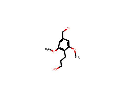 COc1cc(CO)cc(OC)c1CCCO